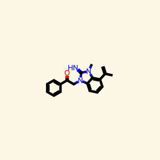 C=C(C)c1cccc2c1n(C)c(=N)n2CC(=O)c1ccccc1